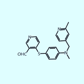 Cc1cc(CN(C)c2ccc(Sc3ccncc3C=O)cc2)ccn1